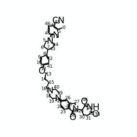 Cc1nc(N2CCC(c3ccc(OCCCCN4CCN(c5ccc6c(c5)CN(C5CCC(=O)NC5=O)C6=O)CC4)cc3)CC2)ccc1C#N